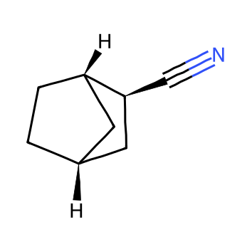 N#C[C@H]1C[C@@H]2CC[C@H]1C2